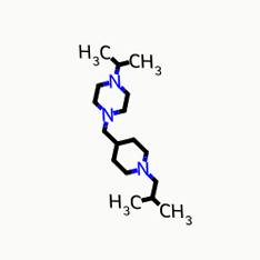 CC(C)CN1CCC(CN2CCN(C(C)C)CC2)CC1